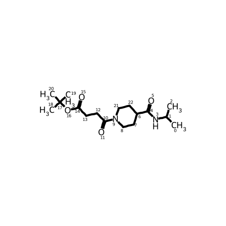 CC(C)NC(=O)C1CCN(C(=O)CCC(=O)OC(C)(C)C)CC1